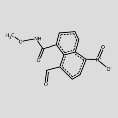 CONC(=O)c1cccc2c([N+](=O)[O-])ccc(C=O)c12